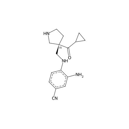 N#Cc1ccc(NC[C@]2(C(=O)C3CC3)CCNC2)c(N)c1